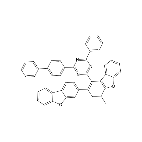 CC1CC(c2ccc3c(c2)oc2ccccc23)=C(c2nc(-c3ccccc3)nc(-c3ccc(-c4ccccc4)cc3)n2)c2c1oc1ccccc21